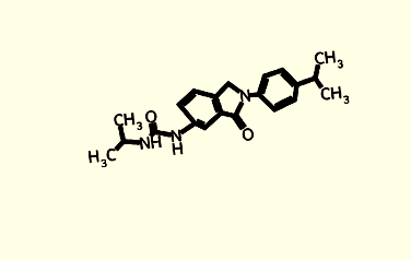 CC(C)NC(=O)Nc1ccc2c(c1)C(=O)N(c1ccc(C(C)C)cc1)C2